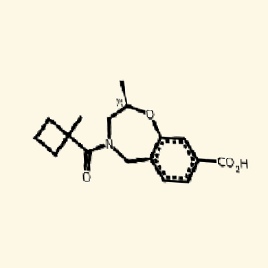 C[C@@H]1CN(C(=O)C2(C)CCC2)Cc2ccc(C(=O)O)cc2O1